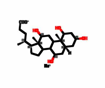 C[C@H](CCC(=O)[O-])[C@H]1CCC2C3C(C[C@H](O)[C@@]21C)[C@@]1(C)C(O)C[C@@H](O)C[C@H]1C[C@H]3O.[Na+]